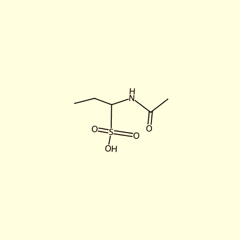 CCC(NC(C)=O)S(=O)(=O)O